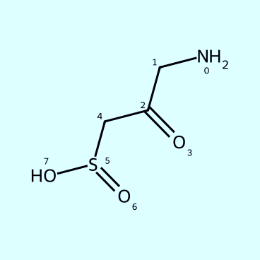 NCC(=O)CS(=O)O